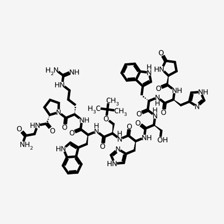 CC(C)(C)OC[C@@H](NC(=O)[C@H](Cc1c[nH]cn1)NC(=O)[C@H](CO)NC(=O)[C@H](Cc1c[nH]c2ccccc12)NC(=O)[C@H](Cc1c[nH]cn1)NC(=O)[C@@H]1CCC(=O)N1)C(=O)N[C@@H](Cc1c[nH]c2ccccc12)C(=O)N[C@@H](CCCNC(=N)N)C(=O)N1CCC[C@H]1C(=O)NCC(N)=O